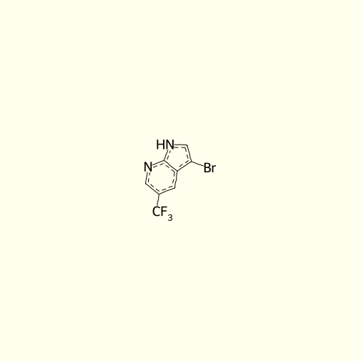 FC(F)(F)c1cnc2[nH]cc(Br)c2c1